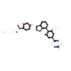 Cc1cnc(-c2cc(C)c(-c3ccc(F)c4c3CC[C@H]4Oc3ccc4c(c3)OC[C@H]4CC(=O)O)c(C)c2)cn1